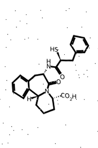 O=C(N[C@H]1Cc2ccccc2[C@H]2CCC[C@@H](C(=O)O)N2C1=O)[C@@H](S)Cc1ccccc1